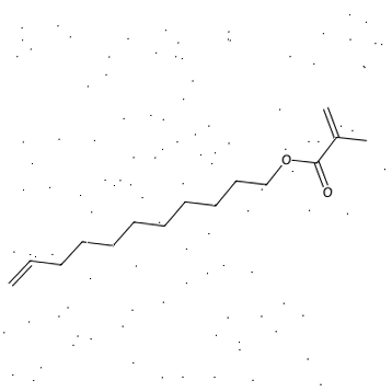 C=CCCCCCCCCCOC(=O)C(=C)C